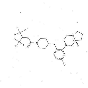 O=C(OC(C(F)(F)F)C(F)(F)F)N1CCN(Cc2ccc(Cl)cc2N2CCN3CCC[C@@H]3C2)CC1